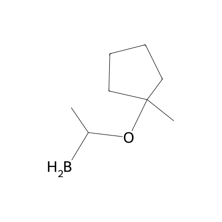 BC(C)OC1(C)CCCC1